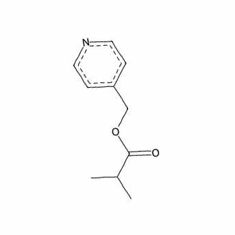 CC(C)C(=O)OCc1ccncc1